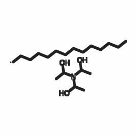 CC(O)N(C(C)O)C(C)O.[CH2]CCCCCCCCCCCCC